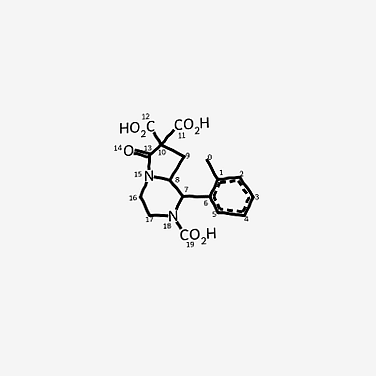 Cc1ccccc1C1C2CC(C(=O)O)(C(=O)O)C(=O)N2CCN1C(=O)O